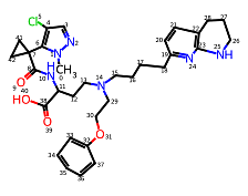 Cn1ncc(Cl)c1C1(C(=O)NC(CCN(CCCCc2ccc3c(n2)NCCC3)CCOc2ccccc2)C(=O)O)CC1